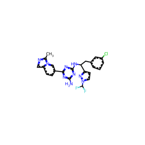 Cc1ncc2ccc(-c3nc(N)nc(NC(Cc4cccc(Cl)c4)c4ccn(C(F)F)n4)n3)cn12